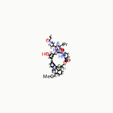 C=CC(=O)N1CC[C@H](C(=O)N(C)C(C(=O)N[C@H]2Cc3cc(O)cc(c3)-c3ccc4c(c3)c(c(-c3c(F)cccc3CCOC)n4CC)CC(C)(C)COC(=O)[C@@H]3CCCN(N3)C2=O)C(C)C)C1